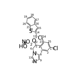 Clc1ccc(C(Cn2ccnc2)OCc2cc3ccccc3s2)c(Cl)c1.O=[N+]([O-])O